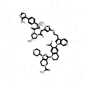 CC(=O)N1CCc2c(c(N3CCCc4cc(-n5cc(CCOc6cc([C@H](C(=O)N7C[C@H](O)C[C@H]7C(=O)N[C@@H](C)c7ccc(-c8scnc8C)cc7)C(C)C)on6)c6ccncc65)c(C(F)F)cc43)nn2C2CCOCC2)C1